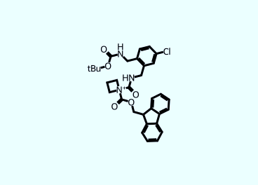 CC(C)(C)OC(=O)NCc1ccc(Cl)cc1CNC(=O)[N+]1(C(=O)OCC2c3ccccc3-c3ccccc32)CCC1